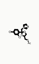 CC(=O)SCC1COC(Cn2ccnc2)(c2ccc(Cl)cc2Cl)O1